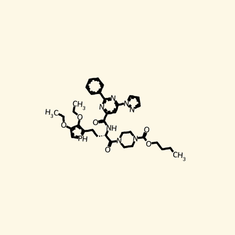 CCCCOC(=O)N1CCN(C(=O)[C@H](CCc2[pH]cc(OCC)c2OCC)NC(=O)c2cc(-n3cccn3)nc(-c3ccccc3)n2)CC1